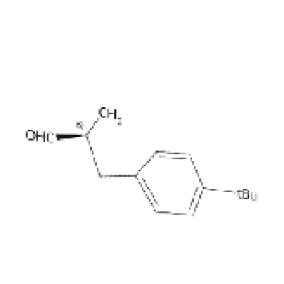 C[C@H](C=O)Cc1ccc(C(C)(C)C)cc1